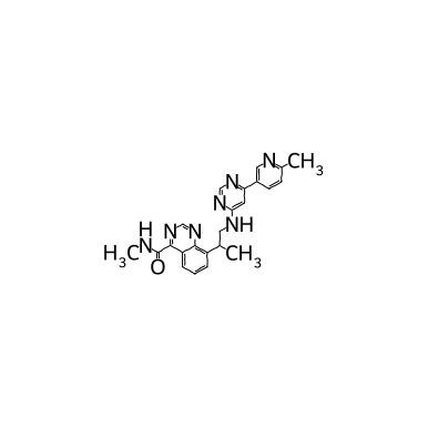 CNC(=O)c1ncnc2c(C(C)CNc3cc(-c4ccc(C)nc4)ncn3)cccc12